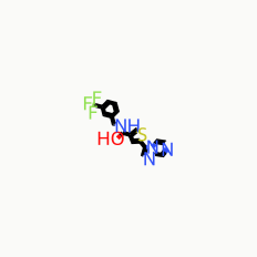 OC(NCc1cccc(C(F)(F)F)c1)c1csc(-c2cnc3cnccn23)c1